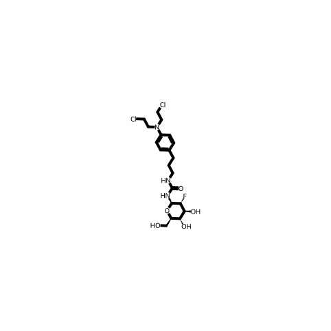 O=C(NCCCc1ccc(N(CCCl)CCCl)cc1)N[C@@H]1O[C@H](CO)[C@@H](O)[C@H](O)[C@H]1F